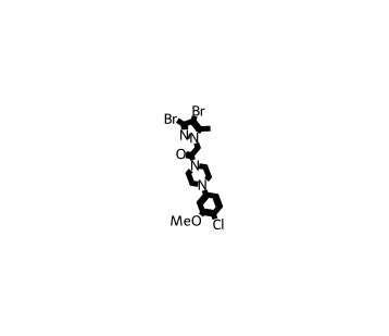 COc1cc(N2CCN(C(=O)Cn3nc(Br)c(Br)c3C)CC2)ccc1Cl